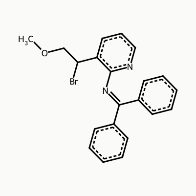 COCC(Br)c1cccnc1N=C(c1ccccc1)c1ccccc1